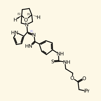 CC(C)CC(=O)OCCNC(=S)Nc1ccc(C(=N)/N=C(\c2ccc[nH]2)N2C[C@@H]3CC[C@@H](C2)O3)cc1